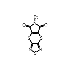 CCn1c(=O)c2sc3nsnc3sc=2c1=O